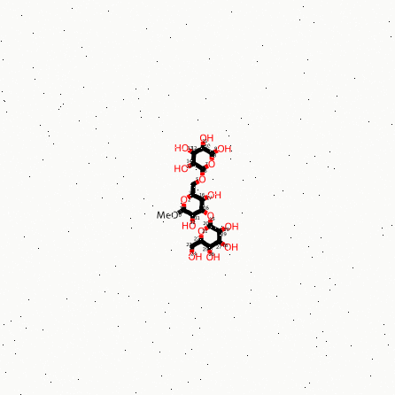 COC1OC(COC2OC(O)C(O)C(O)C2O)C(O)C(OC2OC(CO)C(O)C(O)C2O)C1O